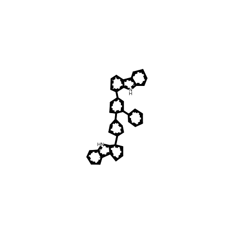 c1ccc(-c2cc(-c3cccc4c3[nH]c3ccccc34)ccc2-c2ccc(-c3cccc4c3[nH]c3ccccc34)cc2)cc1